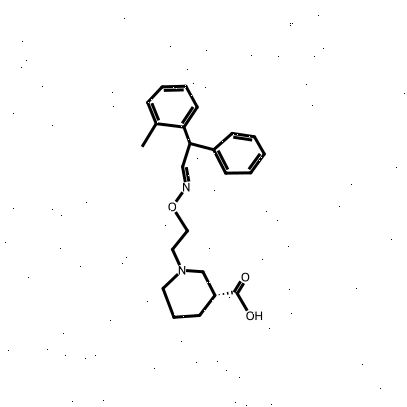 Cc1ccccc1C(C=NOCCN1CCC[C@@H](C(=O)O)C1)c1ccccc1